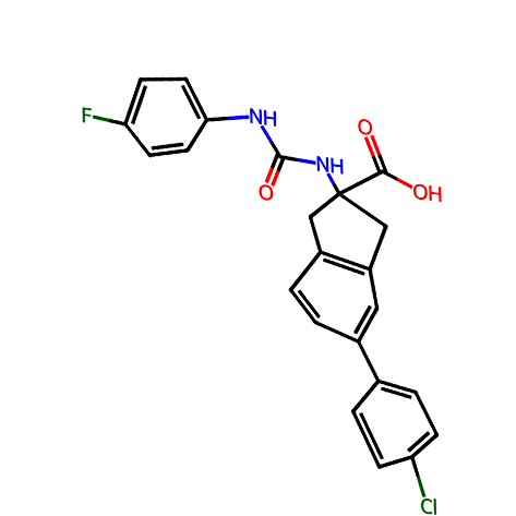 O=C(Nc1ccc(F)cc1)NC1(C(=O)O)Cc2ccc(-c3ccc(Cl)cc3)cc2C1